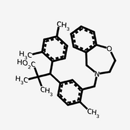 Cc1ccc(C(c2ccc(C)c(CN3CCOc4ccccc4C3)c2)C(C)(C)C(=O)O)c(C)c1